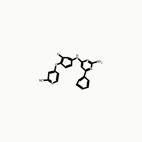 N#Cc1cc(Oc2ccc(Nc3cc(-c4ccccc4)nc(N)n3)cc2F)ccn1